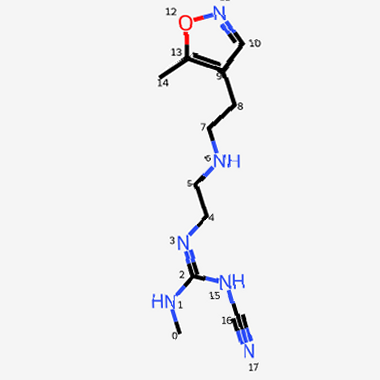 CN/C(=N/CCNCCc1cnoc1C)NC#N